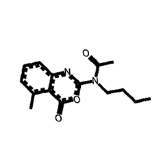 CCCCN(C(C)=O)c1nc2cccc(C)c2c(=O)o1